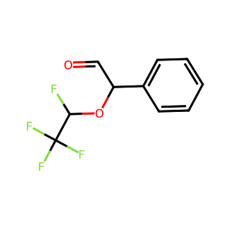 O=CC(OC(F)C(F)(F)F)c1ccccc1